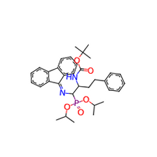 CC(C)OP(=O)(OC(C)C)C(N=C1c2ccccc2-c2ccccc21)C(CCc1ccccc1)NC(=O)OC(C)(C)C